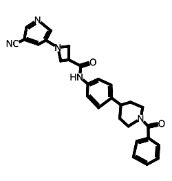 N#Cc1cncc(N2CC(C(=O)Nc3ccc(C4CCN(C(=O)c5ccccc5)CC4)cc3)C2)c1